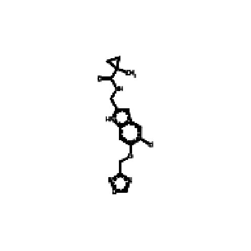 CC1(C(=O)NCc2cc3cc(Cl)c(OCc4ncon4)cc3[nH]2)CC1